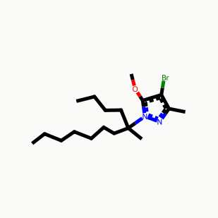 CCCCCCCC(C)(CCCC)n1nc(C)c(Br)c1OC